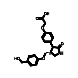 O=C(O)COc1ccc(C2C(=O)NC[C@@H]2COc2ccc(CO)cc2)cc1